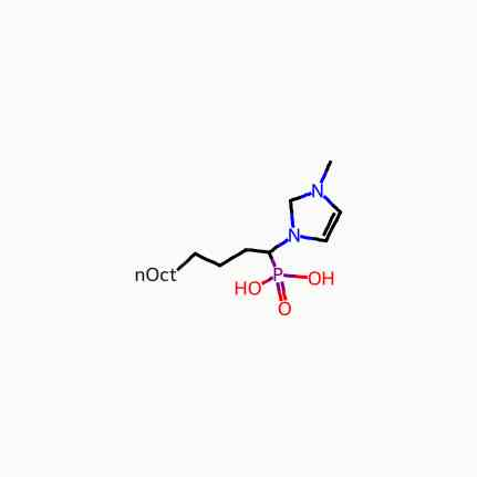 CCCCCCCCCCCC(N1C=CN(C)C1)P(=O)(O)O